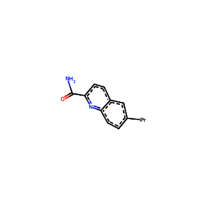 CC(C)c1ccc2nc(C(N)=O)ccc2c1